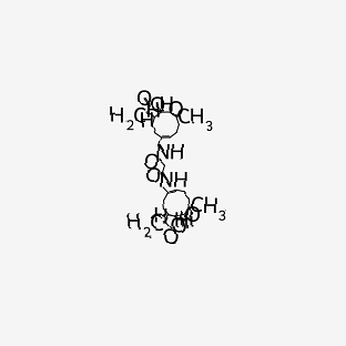 C=C1C(=O)O[C@H]2[C@H]1CC/C(CNC(=O)CC(=O)NC/C1=C/CC[C@@]3(C)O[C@H]3[C@H]3OC(=O)C(=C)[C@@H]3CC1)=C\CC[C@@]1(C)O[C@@H]21